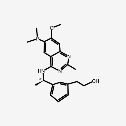 COc1cc2nc(C)nc(N[C@H](C)c3cccc(CCO)c3)c2cc1P(C)C